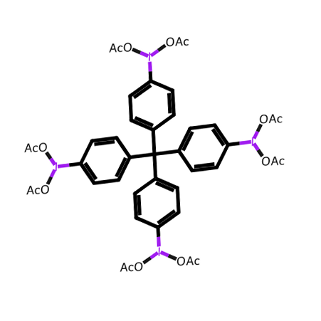 CC(=O)OI(OC(C)=O)c1ccc(C(c2ccc(I(OC(C)=O)OC(C)=O)cc2)(c2ccc(I(OC(C)=O)OC(C)=O)cc2)c2ccc(I(OC(C)=O)OC(C)=O)cc2)cc1